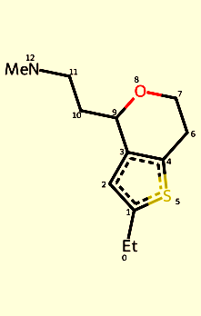 CCc1cc2c(s1)CCOC2CCNC